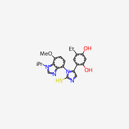 CCc1cc(-c2cnc(S)n2-c2ccc(OC)c3c2ncn3C(C)C)c(O)cc1O